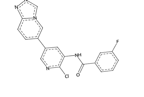 O=C(Nc1cc(-c2ccc3nncn3c2)cnc1Cl)c1cccc(F)c1